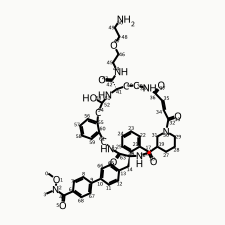 CON(C)C(=O)c1ccc(-c2ccc(C[C@@H]3NC(=O)[C@]4(Cc5ccccc5)CCCN(C4)C(=O)/C=C/C(=O)NCC[C@@H](C(=O)NCCOCCN)NC(O)Cc4ccccc4CNC3=O)cc2)cc1